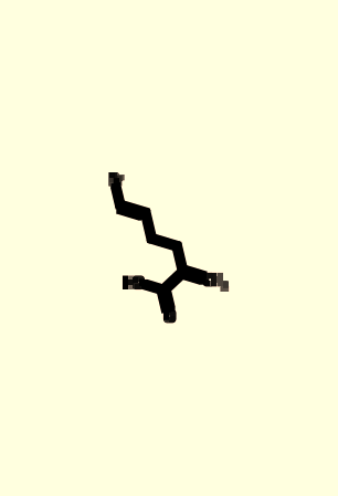 C=C(CCC=CBr)C(=O)O